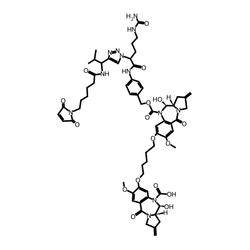 C=C1C[C@H]2[C@H](O)N(C(=O)O)c3cc(OCCCCCOc4cc5c(cc4OC)C(=O)N4CC(=C)C[C@H]4[C@H](O)N5C(=O)OCc4ccc(NC(=O)C(CCCNC(N)=O)n5cc(C(NC(=O)CCCCCN6C(=O)C=CC6=O)C(C)C)nn5)cc4)c(OC)cc3C(=O)N2C1